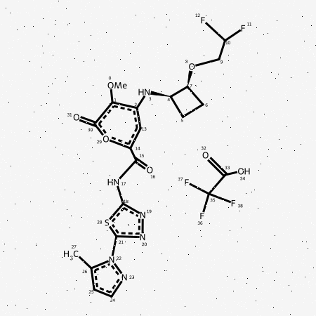 COc1c(N[C@@H]2CC[C@@H]2OCC(F)F)cc(C(=O)Nc2nnc(-n3nccc3C)s2)oc1=O.O=C(O)C(F)(F)F